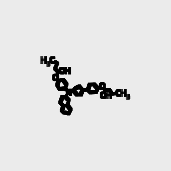 CCCC(O)Oc1ccc(-c2ccc(N(c3ccc(OC(O)CCC)cc3)c3ccc4ccccc4c3)cc2)cc1